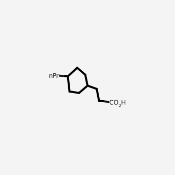 CCCC1CCC(CCC(=O)O)CC1